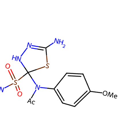 COc1ccc(N(C(C)=O)C2(S(N)(=O)=O)NN=C(N)S2)cc1